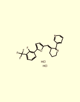 Cl.Cl.Fc1c(-c2ccc(C=C3CCCN=C3c3cccnc3)o2)cccc1C(F)(F)F